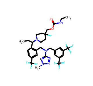 CCNC(=O)OCC1(F)CCN(C(CC)c2ccc(C(F)(F)F)cc2CN(Cc2cc(C(F)(F)F)cc(C(F)(F)F)c2)c2nnn(C)n2)CC1